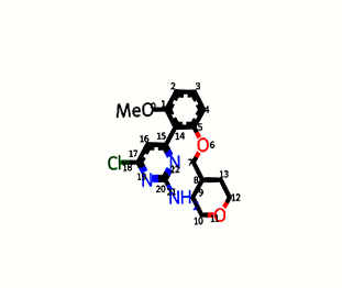 COc1cccc(OCC2CCOCC2)c1-c1cc(Cl)nc(N)n1